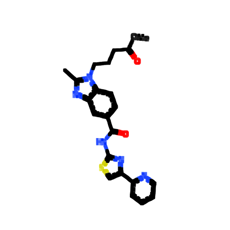 COC(=O)CCCn1c(C)nc2cc(C(=O)Nc3nc(-c4ccccn4)cs3)ccc21